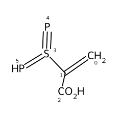 C=C(C(=O)O)S(#P)=P